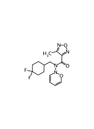 Cc1nonc1C(=O)N(CC1CCC(F)(F)CC1)N1C=CC=CO1